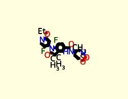 CCOc1cc(N2C(=O)C(C)(C)c3cc(C(=O)NC4(C)C=CS(=O)(=O)N=C4)cc(F)c32)c(F)cn1